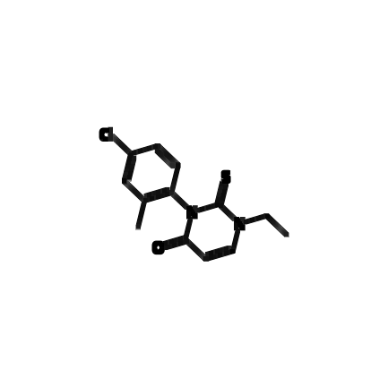 CCn1ccc(=O)n(-c2ccc(Cl)cc2C)c1=S